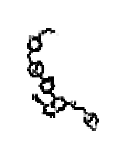 COc1ccc(CC2CC3CCC2CN3c2ccc(-c3cc(OCCN4C5COCC4C5)cn4ncc(C#N)c34)cn2)cn1